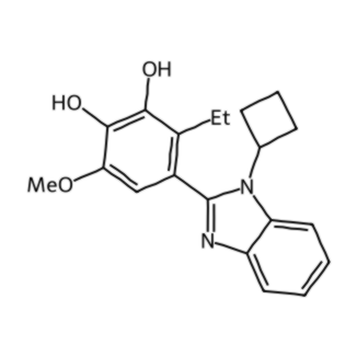 CCc1c(-c2nc3ccccc3n2C2CCC2)cc(OC)c(O)c1O